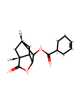 O=C(OC1C2OC(=O)[C@@H]3C[C@@H]1CC23)C1CC=CCC1